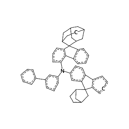 c1ccc(-c2cccc(N(c3ccc4c(c3)C3(CC5CCC3C5)c3ccccc3-4)c3cccc4c3-c3ccccc3C43C4CCC5CC(C4)CC3C5)c2)cc1